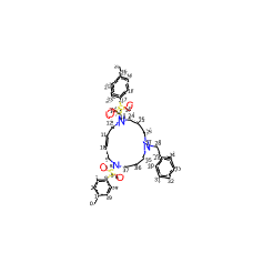 Cc1ccc(S(=O)(=O)N2C/C=C\CN(S(=O)(=O)c3ccc(C)cc3)CCCN(Cc3ccccc3)CCC2)cc1